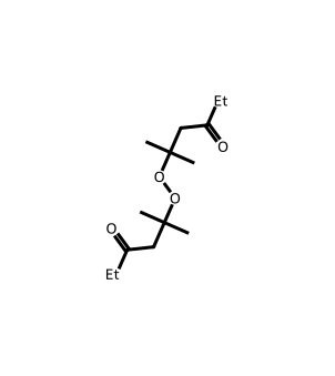 CCC(=O)CC(C)(C)OOC(C)(C)CC(=O)CC